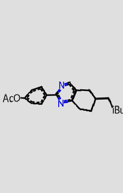 CCC(C)CC1CCc2nc(-c3ccc(OC(C)=O)cc3)ncc2C1